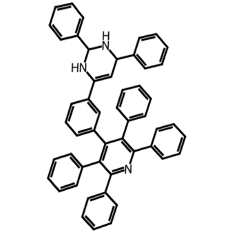 C1=C(c2cccc(-c3c(-c4ccccc4)c(-c4ccccc4)nc(-c4ccccc4)c3-c3ccccc3)c2)NC(c2ccccc2)NC1c1ccccc1